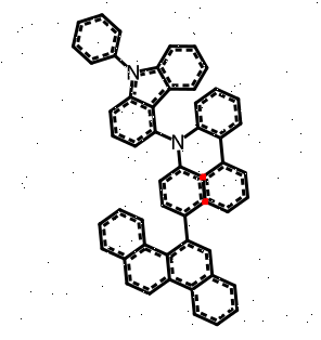 c1ccc(-c2ccccc2N(c2ccc(-c3cc4ccccc4c4ccc5ccccc5c34)cc2)c2cccc3c2c2ccccc2n3-c2ccccc2)cc1